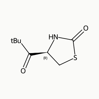 CC(C)(C)C(=O)[C@@H]1CSC(=O)N1